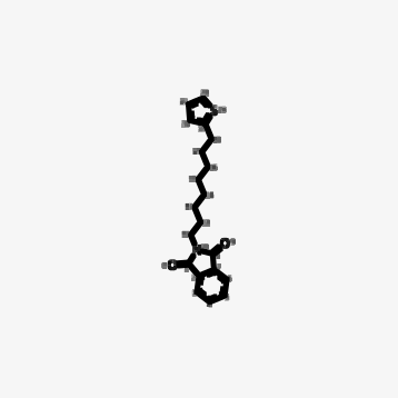 O=C1c2ccccc2C(=O)N1CCCCCCCCc1cccs1